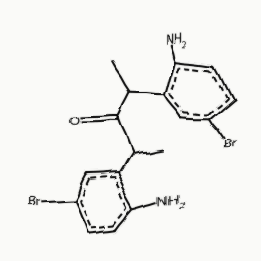 CC(C(=O)C(C)c1cc(Br)ccc1N)c1cc(Br)ccc1N